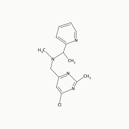 Cc1nc(Cl)cc(CN(C)C(C)c2ccccn2)n1